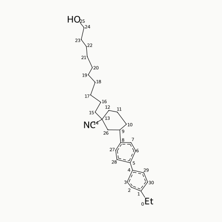 CCc1ccc(-c2ccc(C3CCCC(C#N)(CCCCCCCCCCO)C3)cc2)cc1